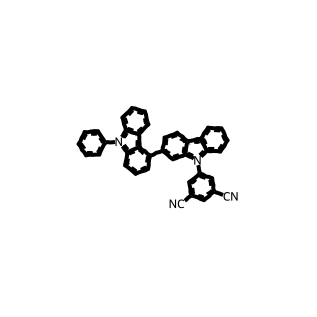 N#Cc1cc(C#N)cc(-n2c3ccccc3c3ccc(-c4cccc5c4c4ccccc4n5-c4ccccc4)cc32)c1